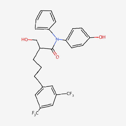 O=C(C(CO)CCCc1cc(C(F)(F)F)cc(C(F)(F)F)c1)N(c1ccccc1)c1ccc(O)cc1